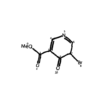 COC(=O)C1=CN=CC(Br)C1=O